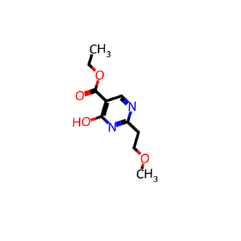 CCOC(=O)c1cnc(CCOC)nc1O